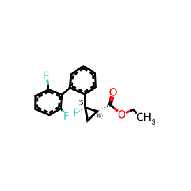 CCOC(=O)[C@@H]1C[C@@]1(F)c1ccccc1-c1c(F)cccc1F